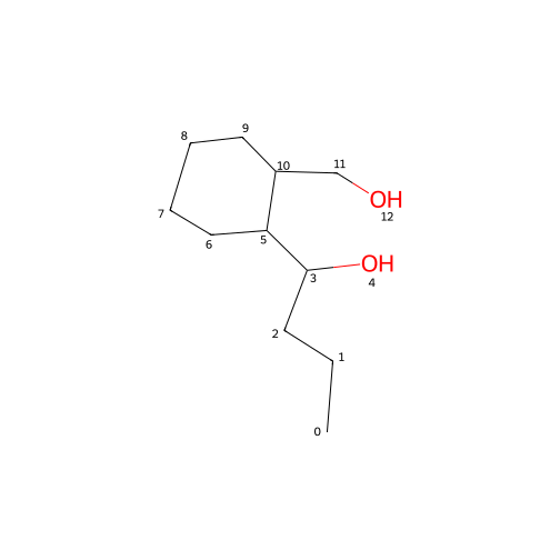 CCCC(O)C1CCCCC1CO